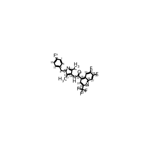 Cc1nn(Cc2ccc(F)cc2)c(C)c1NC(=O)c1cc(C(F)(F)F)nc2cc(F)c(F)cc12